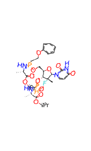 CC(C)OC(=O)[C@H](C)NP(CCOc1ccccc1)OC[C@H]1O[C@@H](n2ccc(=O)[nH]c2=O)[C@](C)(F)[C@@H]1O[PH](=O)N[C@@H](C)C(=O)OC(C)C